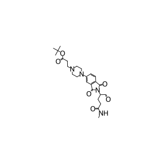 CNC(=O)CCC(C=O)N1C(=O)c2ccc(N3CCN(CCC(=O)OC(C)(C)C)CC3)cc2C1=O